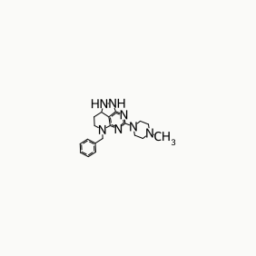 CN1CCN(c2nc3c4c(n2)N(Cc2ccccc2)CCC4NN3)CC1